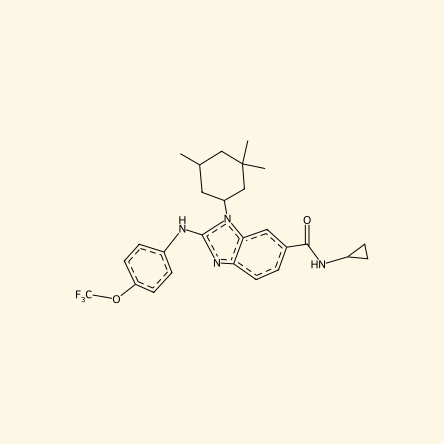 CC1CC(n2c(Nc3ccc(OC(F)(F)F)cc3)nc3ccc(C(=O)NC4CC4)cc32)CC(C)(C)C1